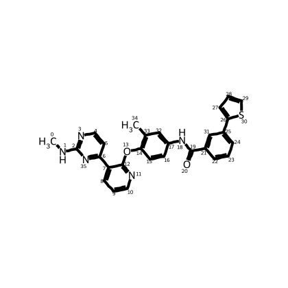 CNc1nccc(-c2cccnc2Oc2ccc(NC(=O)c3cccc(-c4cccs4)c3)cc2C)n1